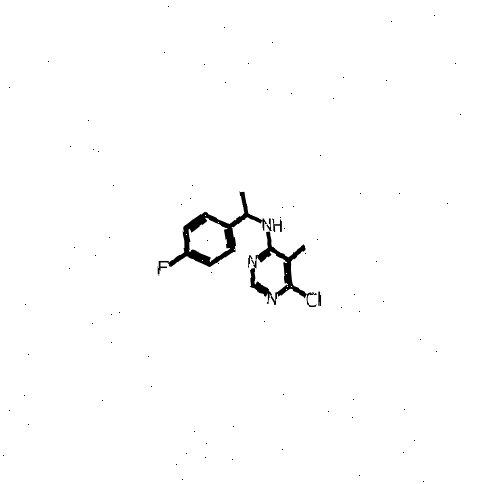 Cc1c(Cl)ncnc1NC(C)c1ccc(F)cc1